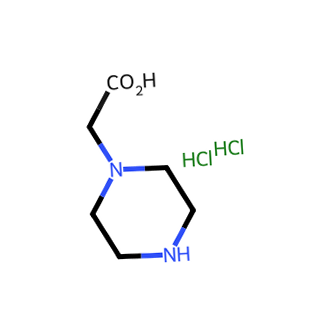 Cl.Cl.O=C(O)CN1CCNCC1